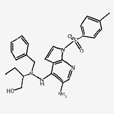 CCC(CO)N(Cc1ccccc1)Nc1c(N)cnc2c1ccn2S(=O)(=O)c1ccc(C)cc1